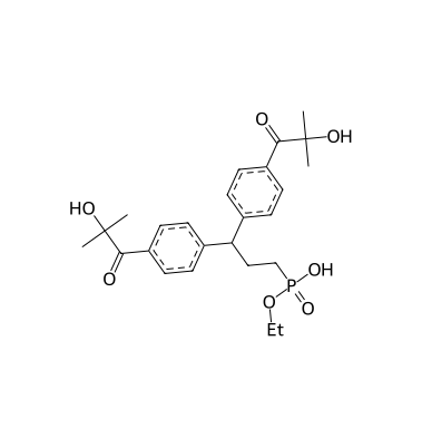 CCOP(=O)(O)CCC(c1ccc(C(=O)C(C)(C)O)cc1)c1ccc(C(=O)C(C)(C)O)cc1